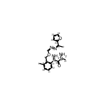 CC(=N/N=C\OCc1c(C)cccc1N(N)C(=O)N(C)N)c1ccco1